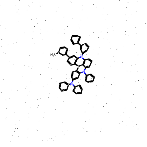 CC1C=CC=C(c2ccc3c(c2)N(c2cccc(-c4ccccc4)c2)c2cccc4c2B3c2ccc(N(c3ccccc3)c3ccccc3)cc2N4c2ccccc2)C1